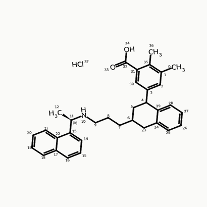 Cc1cc(C2CC(CCCN[C@H](C)c3cccc4ccccc34)Cc3ccccc32)cc(C(=O)O)c1C.Cl